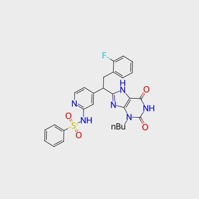 CCCCn1c(=O)[nH]c(=O)c2[nH]c(C(Cc3ccccc3F)c3ccnc(NS(=O)(=O)c4ccccc4)c3)nc21